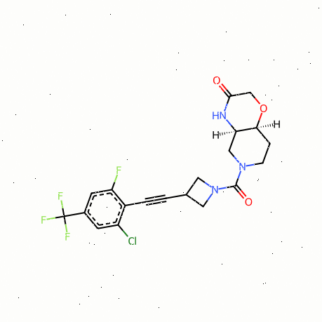 O=C1CO[C@H]2CCN(C(=O)N3CC(C#Cc4c(F)cc(C(F)(F)F)cc4Cl)C3)C[C@H]2N1